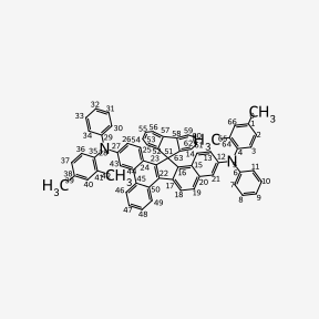 Cc1ccc(N(c2ccccc2)c2ccc3c4c(ccc3c2)-c2c(c3ccc(N(c5ccccc5)c5ccc(C)cc5C)cc3c3ccccc23)C42c3ccccc3-c3ccccc32)c(C)c1